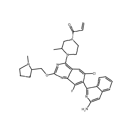 C=CC(=O)N1CCN(c2nc(OCC3CCCN3C)nc3c(F)c(-c4nc(N)cc5ccccc45)c(Cl)cc23)C(C)C1